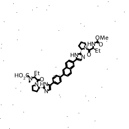 CC[C@H](NC(=O)OC)C(=O)N1CCC[C@H]1c1ncc(-c2ccc3cc(-c4ccc(-c5cnc([C@@H]6CCCN6C(=O)[C@H](CC)N(C)C(=O)O)[nH]5)cc4)ccc3c2)[nH]1